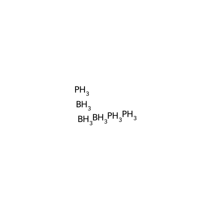 B.B.B.P.P.P